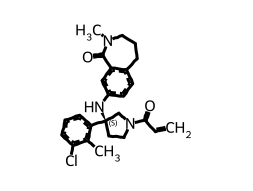 C=CC(=O)N1CC[C@](Nc2ccc3c(c2)C(=O)N(C)CCC3)(c2cccc(Cl)c2C)C1